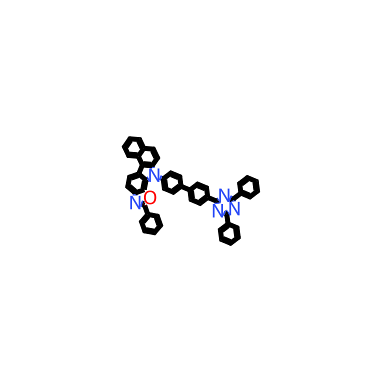 c1ccc(-c2nc(-c3ccccc3)nc(-c3ccc(-c4ccc(-n5c6ccc7ccccc7c6c6ccc7nc(-c8ccccc8)oc7c65)cc4)cc3)n2)cc1